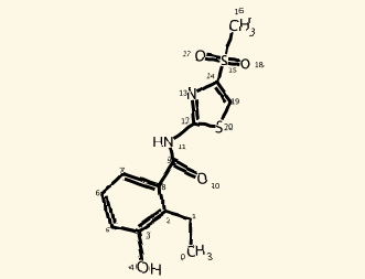 CCc1c(O)cccc1C(=O)Nc1nc(S(C)(=O)=O)cs1